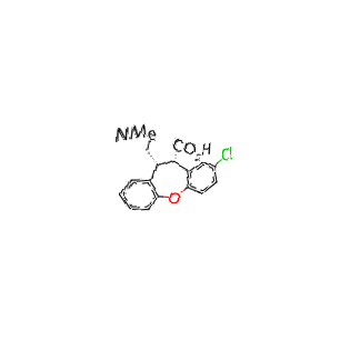 CNC[C@H]1c2ccccc2Oc2ccc(Cl)cc2[C@H]1C(=O)O